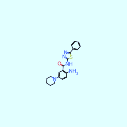 Nc1ccc(N2CCCCC2)cc1C(=O)Nc1nnc(-c2ccccc2)s1